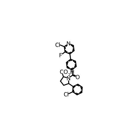 O=C(O)C1CCC(c2ccccc2Cl)N1C(=O)c1ccc(-c2ccnc(Cl)c2F)cc1